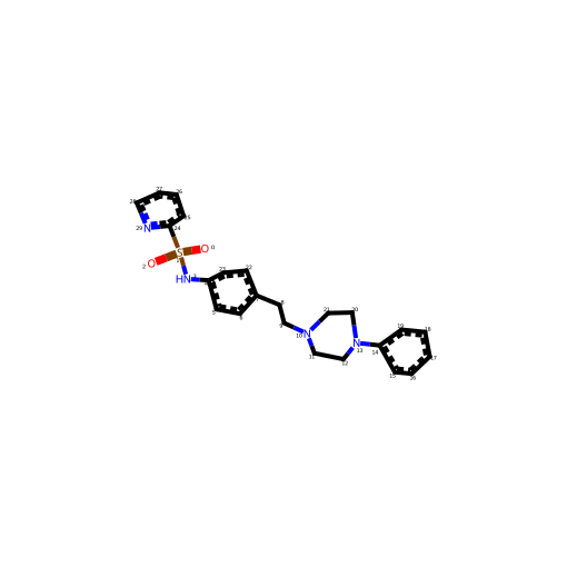 O=S(=O)(Nc1ccc(CCN2CCN(c3ccccc3)CC2)cc1)c1ccccn1